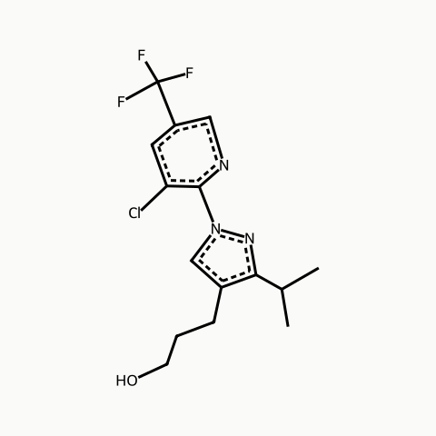 CC(C)c1nn(-c2ncc(C(F)(F)F)cc2Cl)cc1CCCO